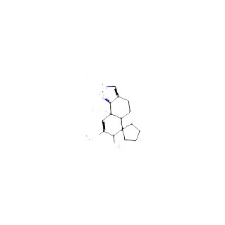 Cn1cc2c(n1)[C@@]1(C)C=C(C#N)C(O)C3(CCCC3)[C@@H]1CC2